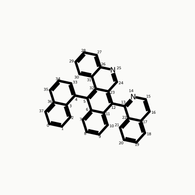 c1ccc2c(-c3c4ccccc4c(-c4nccc5ccccc45)c4cnc5ccccc5c34)cccc2c1